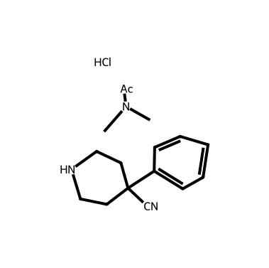 CC(=O)N(C)C.Cl.N#CC1(c2ccccc2)CCNCC1